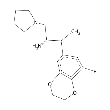 CC(c1cc(F)c2c(c1)OCCO2)[C@H](N)CN1CCCC1